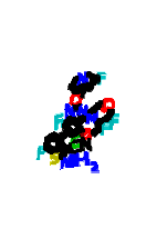 N#Cc1c(N)sc2c(F)ccc(-c3c(Cl)c4c5c(nc(OC[C@@]67CCCN6C[C@H](F)C7)nc5c3F)N3CCOCC(F)(F)C3CCO4)c12